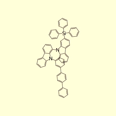 c1ccc(-c2ccc(-c3cccc(-n4c5ccccc5c5cccc(-n6c7ccccc7c7ccc([Si](c8ccccc8)(c8ccccc8)c8ccccc8)cc76)c54)c3)cc2)cc1